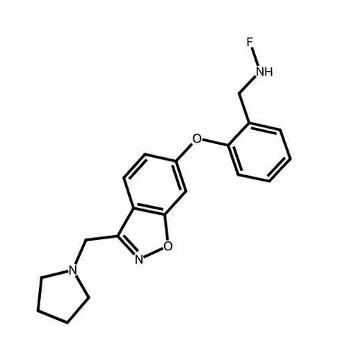 FNCc1ccccc1Oc1ccc2c(CN3CCCC3)noc2c1